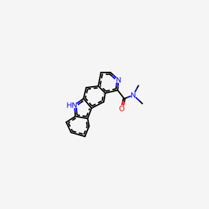 CN(C)C(=O)c1nccc2cc3[nH]c4ccccc4c3cc12